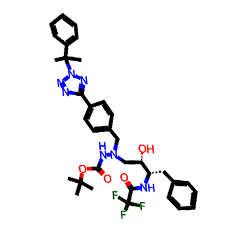 CC(C)(C)OC(=O)NN(Cc1ccc(-c2nnn(C(C)(C)c3ccccc3)n2)cc1)C[C@H](O)[C@H](Cc1ccccc1)NC(=O)C(F)(F)F